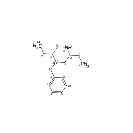 CCC1CN(Cc2ccccc2)[C@H](CC)CN1